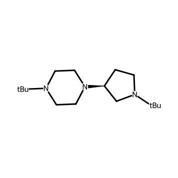 CC(C)(C)N1CCN([C@H]2CCN(C(C)(C)C)C2)CC1